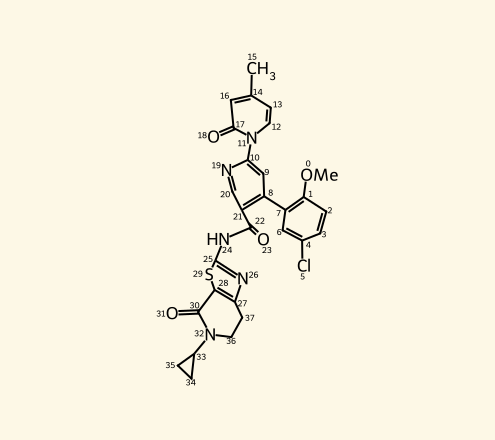 COc1ccc(Cl)cc1-c1cc(-n2ccc(C)cc2=O)ncc1C(=O)Nc1nc2c(s1)C(=O)N(C1CC1)CC2